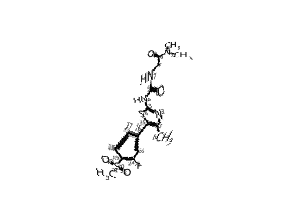 Cc1nc(NC(=O)NCC(=O)N(C)C)sc1-c1ccc(S(C)(=O)=O)c(F)c1